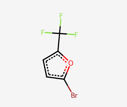 FC(F)(F)c1ccc(Br)o1